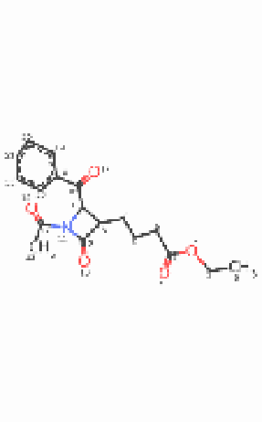 CCOC(=O)CCCC1C(=O)N(C(C)=O)C1C(=O)c1ccccc1